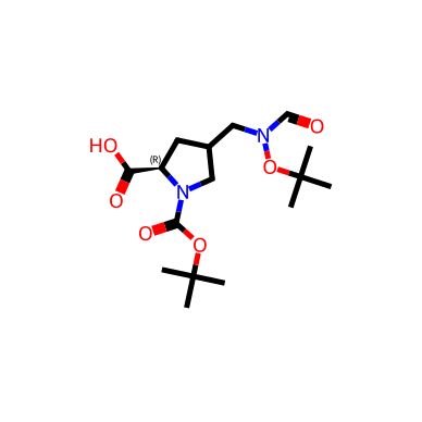 CC(C)(C)OC(=O)N1CC(CN(C=O)OC(C)(C)C)C[C@@H]1C(=O)O